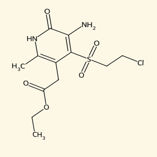 CCOC(=O)Cc1c(C)[nH]c(=O)c(N)c1S(=O)(=O)CCCl